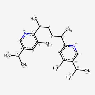 Cc1cc(C(C)CCC(C)c2ncc(C(C)C)cc2C)ncc1C(C)C